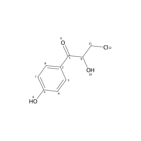 O=C(c1ccc(O)cc1)C(O)CCl